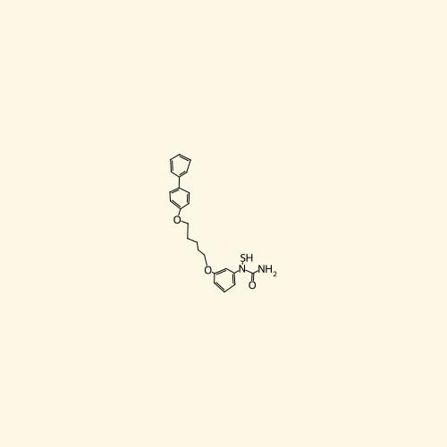 NC(=O)N(S)c1cccc(OCCCCCOc2ccc(-c3ccccc3)cc2)c1